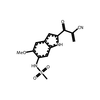 C=C(C#N)C(=O)c1cc2cc(OC)c(NS(C)(=O)=O)cc2[nH]1